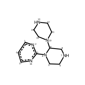 c1cnc(N2CCNCC2N2CCNCC2)nc1